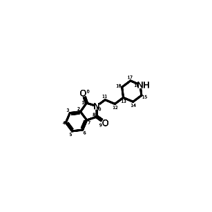 O=C1c2ccccc2C(=O)N1CCC1CCNCC1